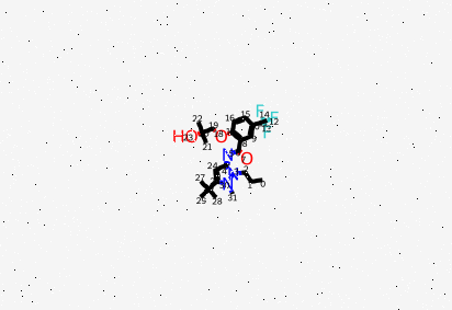 CCCn1c(=NC(=O)c2cc(C(F)(F)F)ccc2OCC(C)(C)O)cc(C(C)(C)C)n1C